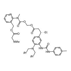 CC[C@@H](CC(=O)OCOC(=O)N(C)c1ncccc1COC(=O)CNC)c1ccc(N(CC(C)C)CC(C)C)c(NC(=O)Nc2ccc(C)cc2)c1